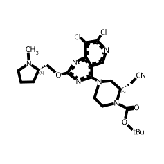 CN1CCC[C@H]1COc1nc(N2CCN(C(=O)OC(C)(C)C)[C@@H](CC#N)C2)c2cnc(Cl)c(Cl)c2n1